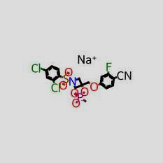 CP(=O)([O-])OC1(COc2ccc(C#N)c(F)c2)CN(S(=O)(=O)c2ccc(Cl)cc2Cl)C1.[Na+]